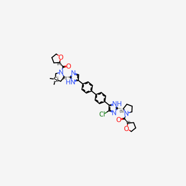 C[Si]1(C)C[C@@H](c2ncc(-c3ccc(-c4ccc(-c5[nH]c([C@@H]6CCCN6C(=O)[C@H]6CCCO6)nc5Cl)cc4)cc3)[nH]2)N(C(=O)[C@H]2CCCO2)C1